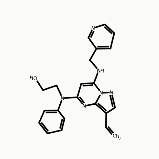 C=Cc1cnn2c(NCc3cccnc3)cc(N(CCO)c3ccccc3)nc12